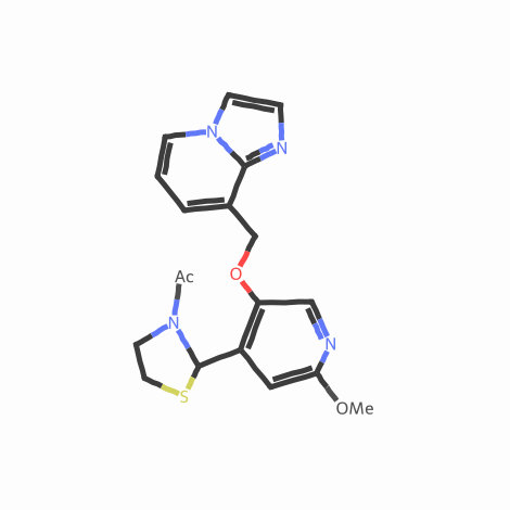 COc1cc(C2SCCN2C(C)=O)c(OCc2cccn3ccnc23)cn1